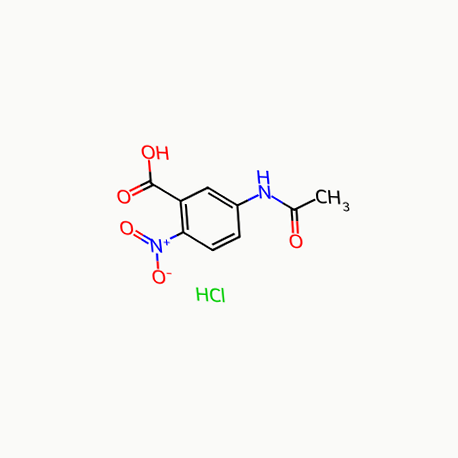 CC(=O)Nc1ccc([N+](=O)[O-])c(C(=O)O)c1.Cl